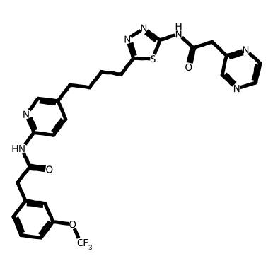 O=C(Cc1cccc(OC(F)(F)F)c1)Nc1ccc(CCCCc2nnc(NC(=O)Cc3cnccn3)s2)cn1